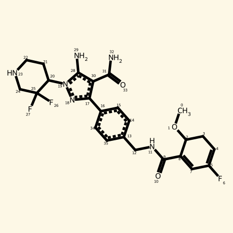 COC1CC=C(F)C=C1C(=O)NCc1ccc(-c2nn(C3CCNCC3(F)F)c(N)c2C(N)=O)cc1